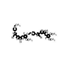 CCN1CCC(n2cc(-c3cnc4[nH]cc(Cc5c(F)c(OC)cc(OCCN6CCC(n7cc(-c8cnc9[nH]cc(Cc%10c(F)c(OC)cc(OC)c%10F)c9c8)c(C#N)n7)CC6)c5F)c4c3)c(C#N)n2)CC1